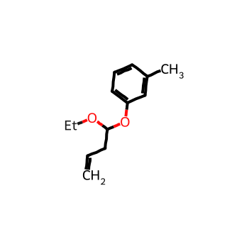 C=CCC(OCC)Oc1cccc(C)c1